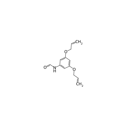 C=CCOc1cc(NC=O)cc(OCC=C)c1